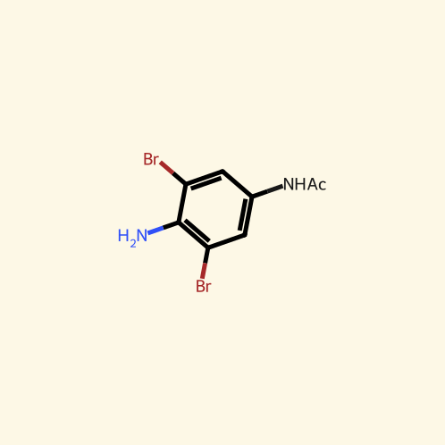 CC(=O)Nc1cc(Br)c(N)c(Br)c1